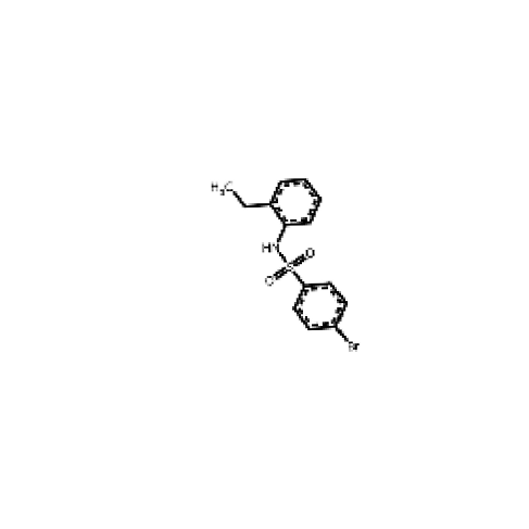 CCc1ccccc1NS(=O)(=O)c1ccc(Br)cc1